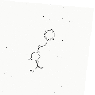 CC(=O)[C@@H]1C[C@H](OCc2ccccc2)CN1